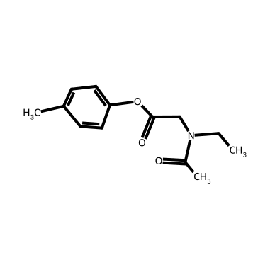 CCN(CC(=O)Oc1ccc(C)cc1)C(C)=O